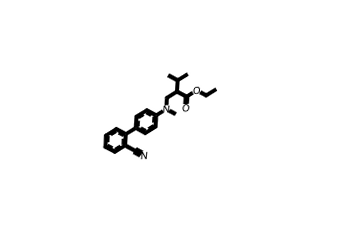 CCOC(=O)C(CN(C)c1ccc(-c2ccccc2C#N)cc1)C(C)C